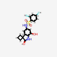 O=C1Nc2c(O)cc(NS(=O)(=O)c3ccc(F)cc3F)cc2C12CCC2